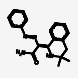 CC1(C)Cc2ccccc2C(=C(N=Nc2ccccc2)C(N)=O)N1